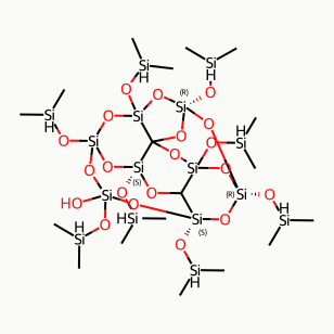 C[SiH](C)O[Si]1(O)O[Si]2(O[SiH](C)C)O[Si]3(O[SiH](C)C)O[Si@]4(O[SiH](C)C)OC35O[Si]3(O[SiH](C)C)O[Si@@](O[SiH](C)C)(O4)O[Si@@](O[SiH](C)C)(O1)C3O[Si@@]5(O[SiH](C)C)O2